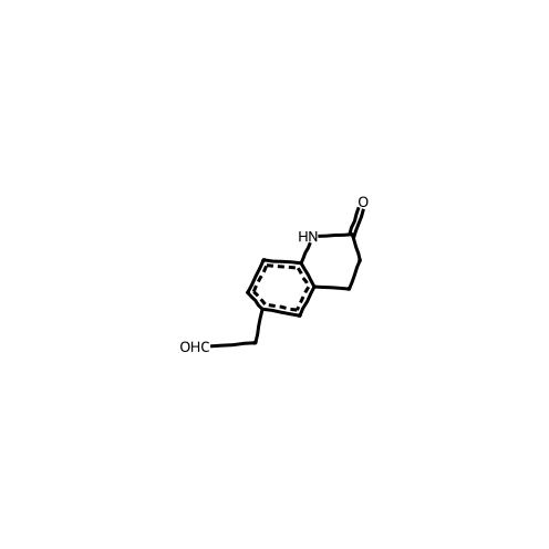 O=CCc1ccc2c(c1)CCC(=O)N2